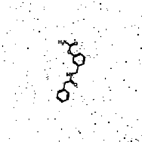 NC(=O)Oc1cccc(CNC(=O)[CH]c2ccccc2)c1